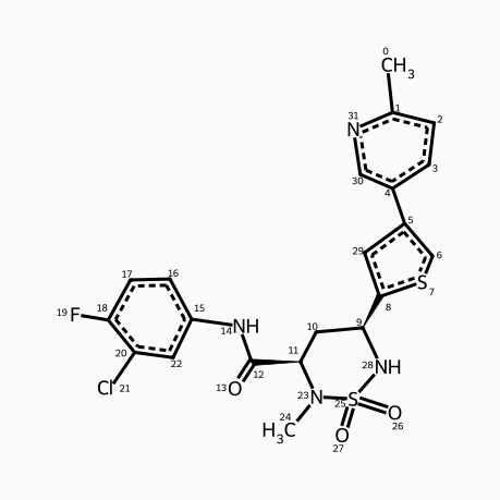 Cc1ccc(-c2csc([C@@H]3C[C@H](C(=O)Nc4ccc(F)c(Cl)c4)N(C)S(=O)(=O)N3)c2)cn1